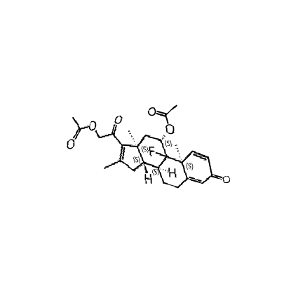 CC(=O)OCC(=O)C1=C(C)C[C@H]2[C@@H]3CCC4=CC(=O)C=C[C@]4(C)C3(F)[C@@H](OC(C)=O)C[C@]12C